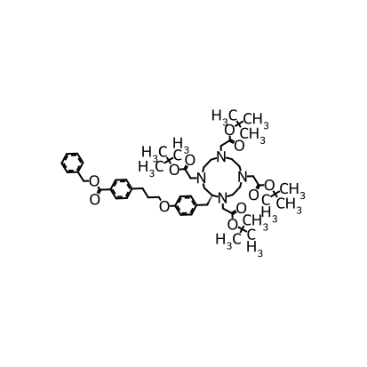 CC(C)(C)OC(=O)CN1CCN(CC(=O)OC(C)(C)C)CCN(CC(=O)OC(C)(C)C)[C@@H](Cc2ccc(OCCCc3ccc(C(=O)OCc4ccccc4)cc3)cc2)CN(CC(=O)OC(C)(C)C)CC1